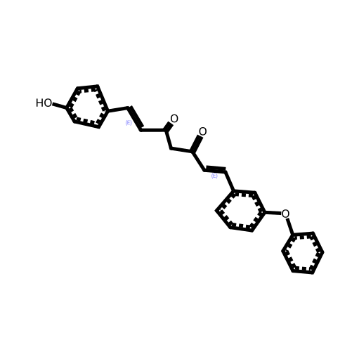 O=C(/C=C/c1ccc(O)cc1)CC(=O)/C=C/c1cccc(Oc2ccccc2)c1